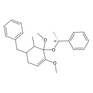 COC1=CCC(Cc2ccccc2)C(C)C1(OC)O[C@H](C)c1ccccc1